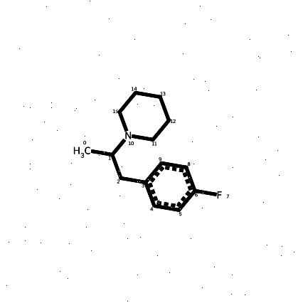 CC(Cc1ccc(F)cc1)N1CCCCC1